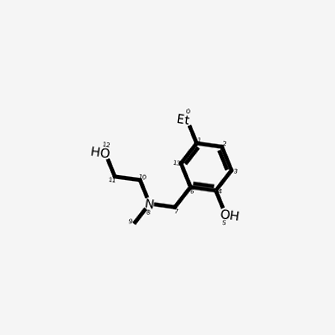 CCc1ccc(O)c(CN(C)CCO)c1